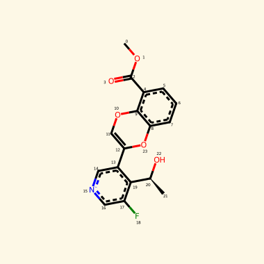 COC(=O)c1cccc2c1OC=C(c1cncc(F)c1[C@H](C)O)O2